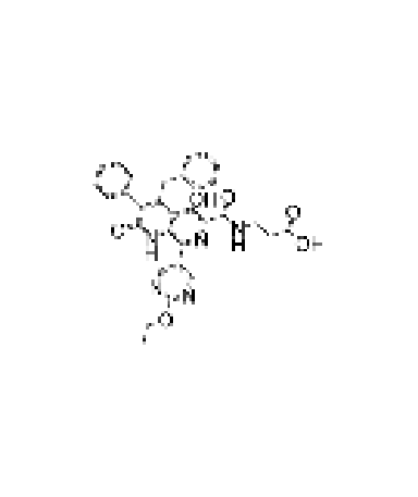 CCOc1ncc(-c2nc(C(=O)NCCC(=O)O)c(O)c3c(Cc4ccccc4)c(-c4ccccc4)c(=O)[nH]c23)cn1